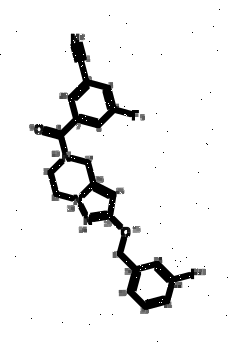 N#Cc1cc(F)cc(C(=O)N2CCn3nc(OCc4cccc(F)c4)cc3C2)c1